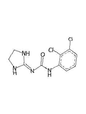 O=C(N=C1NCCN1)Nc1cccc(Cl)c1Cl